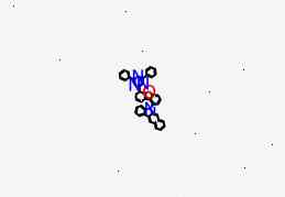 C1=Cc2c(oc3cccc(-n4c5ccccc5c5cc6ccccc6cc54)c23)C(c2nc(-c3ccccc3)nc(-c3ccccc3)n2)C1